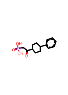 O=C(CP(=O)(O)O)C1CCC(c2ccccc2)CC1